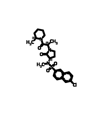 C[C@H](C(=O)N1CCCC[C@@H]1C)N1CC[C@H](N(C)S(=O)(=O)c2ccc3cc(Cl)ccc3c2)C1=O